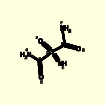 N=S(=O)(C(N)=O)C(N)=O